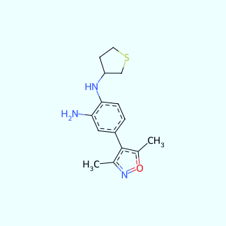 Cc1noc(C)c1-c1ccc(NC2CCSC2)c(N)c1